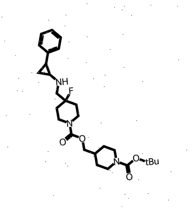 CC(C)(C)OC(=O)N1CCC(COC(=O)N2CCC(F)(CNC3CC3c3ccccc3)CC2)CC1